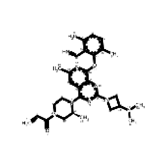 C=CC(=O)N1CCN(c2nc(N3CC(N(C)C)C3)nc3c(Oc4c(C)ccc(N)c4C=N)nc(C)cc23)[C@@H](C)C1